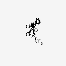 O=C(CCSCCC(F)(F)F)N(CCCC(F)(F)F)c1cn(-c2cccnc2)nc1Cl